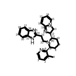 Cc1cccnc1[C@@H]1CCC[C@H](C2CN3C=CC=CC3=N2)N1CCc1nc2ccccc2[nH]1